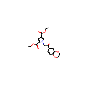 CCOC(=O)c1cc(C(=O)OCC)n(CC(=O)c2ccc3c(c2)OCCO3)c1